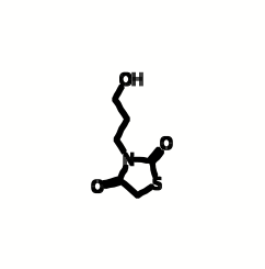 O=C1CSC(=O)N1CCCO